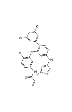 C=CC(=O)Nc1ccc(F)c(Nc2nc(Nc3cnn(C)c3)ncc2-c2cc(Cl)cc(Cl)c2)c1